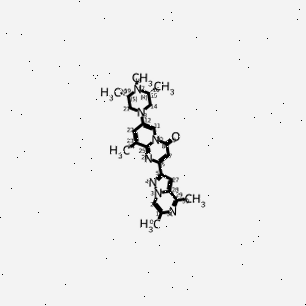 Cc1cn2nc(-c3cc(=O)n4cc(N5C[C@@H](C)N(C)[C@@H](C)C5)cc(C)c4n3)cc2c(C)n1